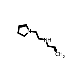 C=CCNCCN1C=CCC1